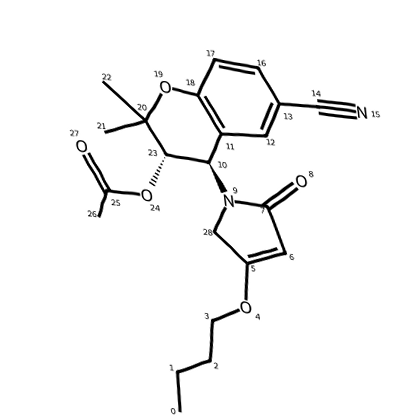 CCCCOC1=CC(=O)N([C@@H]2c3cc(C#N)ccc3OC(C)(C)[C@H]2OC(C)=O)C1